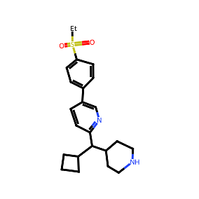 CCS(=O)(=O)c1ccc(-c2ccc(C(C3CCC3)C3CCNCC3)nc2)cc1